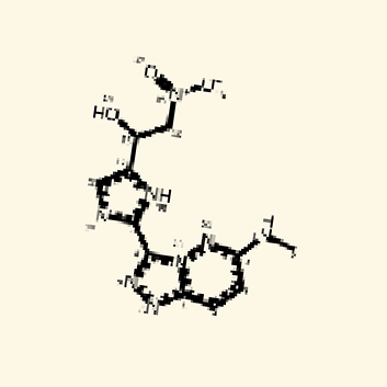 CNc1ccc2nnc(-c3ncc(C(O)C[N+](=O)[O-])[nH]3)n2n1